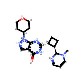 CN1C=CC=NC1[C@@H]1CC[C@H]1c1nc2c(cnn2C2CCOCC2)c(=O)[nH]1